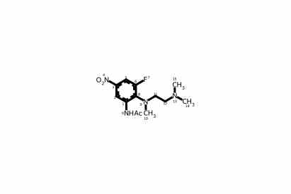 CC(=O)Nc1cc([N+](=O)[O-])cc(F)c1N(C)CCN(C)C